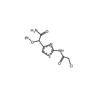 CC(C)OC(C(N)=O)c1csc(NC(=O)CCl)n1